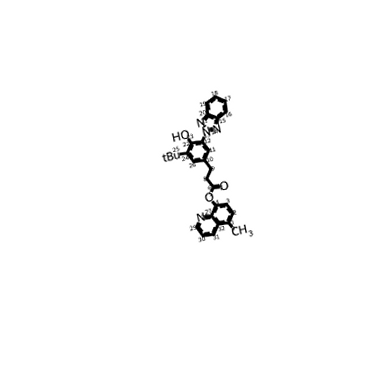 Cc1ccc(OC(=O)CCc2cc(-n3nc4ccccc4n3)c(O)c(C(C)(C)C)c2)c2ncccc12